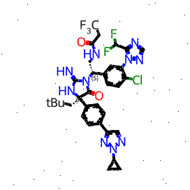 CC(C)(C)C[C@]1(c2ccc(-c3cnn(C4CC4)n3)cc2)NC(=N)N([C@H](CNC(=O)CC(F)(F)F)c2ccc(Cl)c(-n3ncnc3C(F)F)c2)C1=O